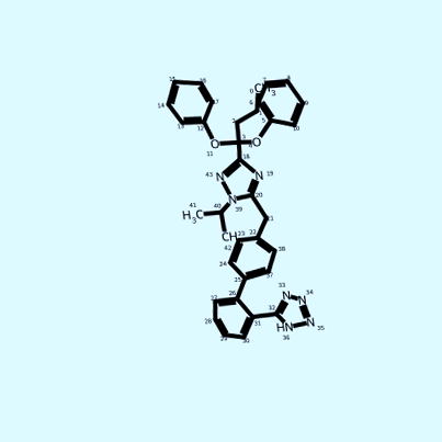 CCCC(Oc1ccccc1)(Oc1ccccc1)c1nc(Cc2ccc(-c3ccccc3-c3nnn[nH]3)cc2)n(C(C)C)n1